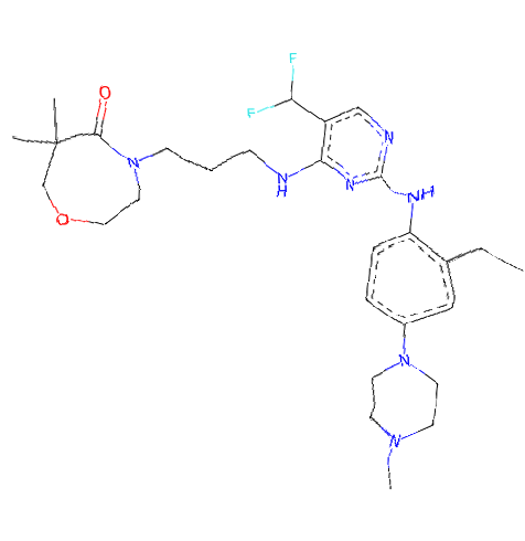 CCc1cc(N2CCN(C)CC2)ccc1Nc1ncc(C(F)F)c(NCCCN2CCOCC(C)(C)C2=O)n1